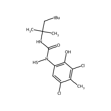 Cc1c(Cl)cc(N(S)C(=O)NC(C)(C)CC(C)(C)C)c(O)c1Cl